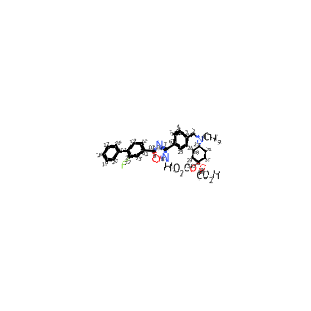 CN(Cc1ccc(-c2noc(-c3ccc(-c4ccccc4)c(F)c3)n2)cc1)C1CCC(OC(=O)O)(OC(=O)O)CC1